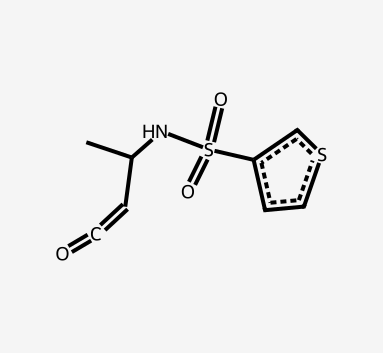 CC(C=C=O)NS(=O)(=O)c1ccsc1